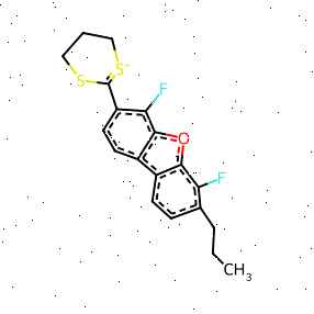 CCCc1ccc2c(oc3c(F)c(C4=[S+]CCCS4)ccc32)c1F